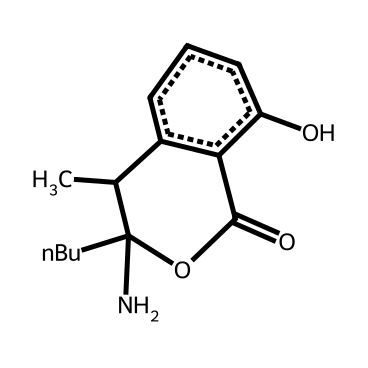 CCCCC1(N)OC(=O)c2c(O)cccc2C1C